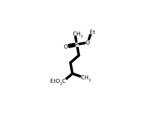 CCOC(=O)C(C)CCP(C)(=O)OCC